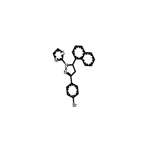 Brc1ccc(C2=NN(c3nccs3)C(c3cccc4ccccc34)C2)cc1